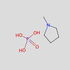 CN1CCCC1.O=P(O)(O)O